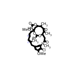 COc1cc2cc(c1Cl)N(C)C(=O)CC1OC(C(C)C)OC3(CC(OC(=O)N3)C(C)C3OC13C)C(OC)/C=C/C=C(\C)C2